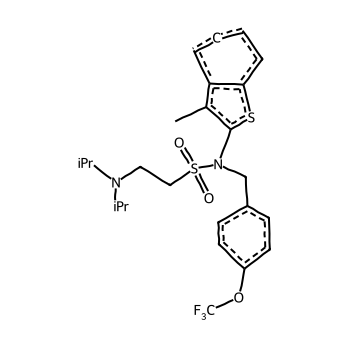 Cc1c(N(Cc2ccc(OC(F)(F)F)cc2)S(=O)(=O)CCN(C(C)C)C(C)C)sc2ccccc12